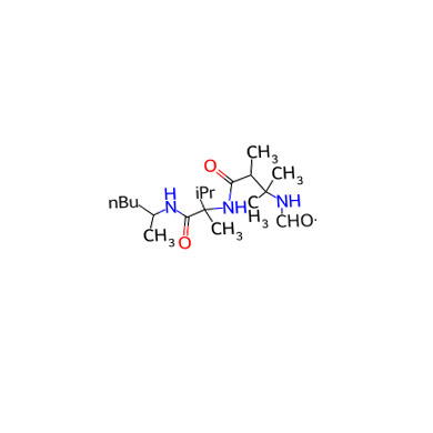 CCCCC(C)NC(=O)C(C)(NC(=O)C(C)C(C)(C)N[C]=O)C(C)C